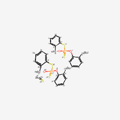 CCCCc1ccccc1OP([O-])(=S)Sc1ccccc1CCCC.CCCCc1ccccc1OP([O-])(=S)Sc1ccccc1CCCC.[S]=[Mo+2]